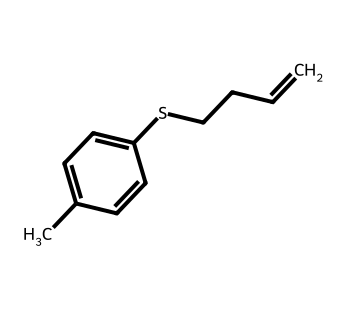 C=CCCSc1ccc(C)cc1